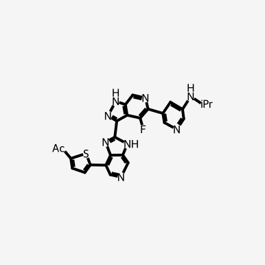 CC(=O)c1ccc(-c2cncc3[nH]c(-c4n[nH]c5cnc(-c6cncc(NC(C)C)c6)c(F)c45)nc23)s1